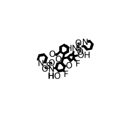 O=C1OC2(c3ccccc31)c1cc(NS(=O)(=O)c3ccccn3)c(O)c(F)c1Oc1c2cc(NS(=O)(=O)c2ccccn2)c(O)c1F